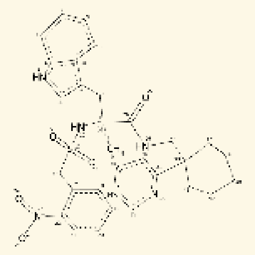 C[C@@](Cc1c[nH]c2ccccc12)(NS(=O)(=O)Cc1ccccc1[N+](=O)[O-])C(=O)NCC1(c2ccccn2)CCCCC1